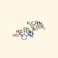 CC(C)(C)C1C(n2cc(B3OC(C)(C)C(C)(C)O3)cn2)CCCN1C(=O)O